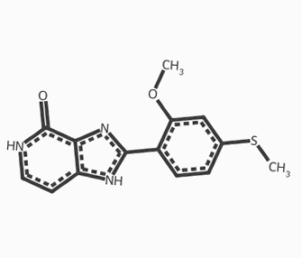 COc1cc(SC)ccc1-c1nc2c(=O)[nH]ccc2[nH]1